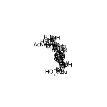 CC(=O)N[C@@H](CS)C(=O)NCC(=O)N[C@@H](CCCNC(=N)N)C(=O)NCC(=O)N[C@@H](Cc1ccccc1)C(=O)N[C@@H](Cc1ccc2ccccc2c1)C(=O)N[C@@H](CCC(N)=O)C(=O)NCC(=O)N[C@H](C(=O)NCC(=O)N[C@H](C(=O)O)C(C)(C)C)[C@@H](C)O